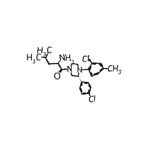 Cc1ccc(N2CCN(C(=O)[C@H](N)CC(C)C)C[C@H]2c2ccc(Cl)cc2)c(Cl)c1